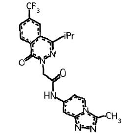 Cc1nnc2cc(NC(=O)Cn3nc(C(C)C)c4cc(C(F)(F)F)ccc4c3=O)ccn12